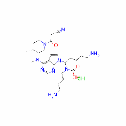 C[C@@H]1CCN(C(=O)CC#N)C[C@@H]1N(C)c1ncnc2c1ccn2C(CCCCN)N(CCCCN)C(=O)O.Cl